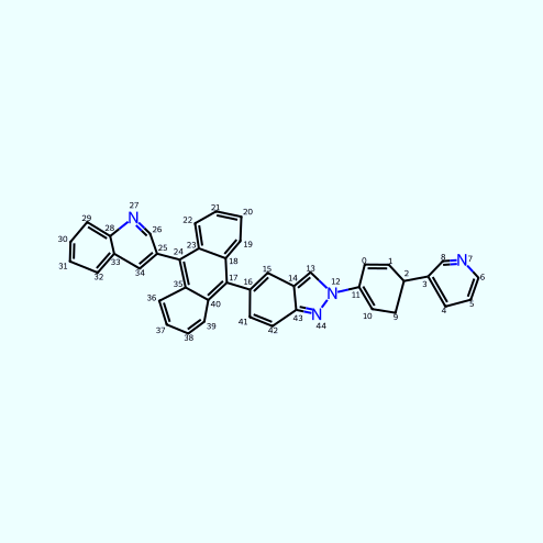 C1=CC(c2cccnc2)CC=C1n1cc2cc(-c3c4ccccc4c(-c4cnc5ccccc5c4)c4ccccc34)ccc2n1